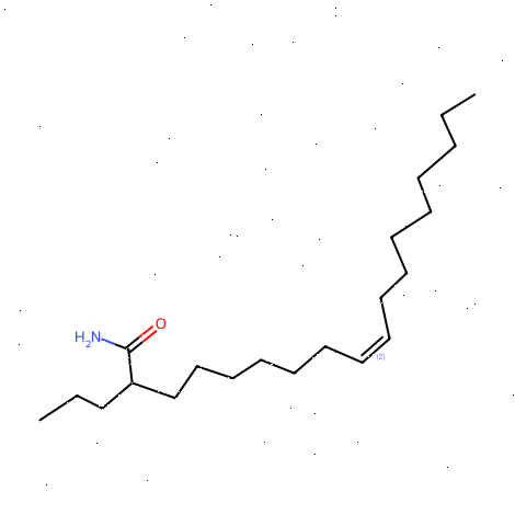 CCCCCCCC/C=C\CCCCCCC(CCC)C(N)=O